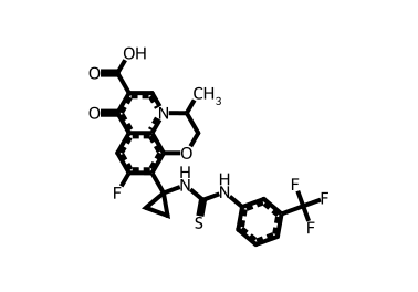 CC1COc2c(C3(NC(=S)Nc4cccc(C(F)(F)F)c4)CC3)c(F)cc3c(=O)c(C(=O)O)cn1c23